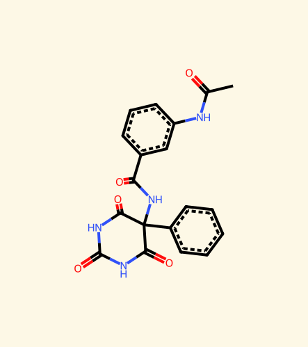 CC(=O)Nc1cccc(C(=O)NC2(c3ccccc3)C(=O)NC(=O)NC2=O)c1